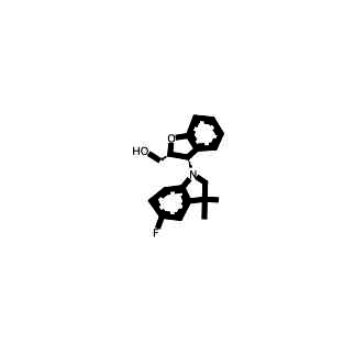 CC1(C)CN([C@H]2c3ccccc3O[C@H]2CO)c2ccc(F)cc21